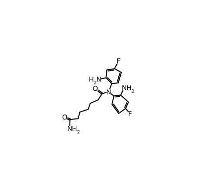 NC(=O)CCCCCC(=O)N(c1ccc(F)cc1N)c1ccc(F)cc1N